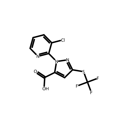 O=C(O)c1cc(SC(F)(F)F)nn1-c1ncccc1Cl